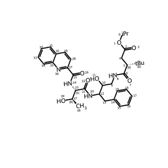 CC(C)OC(=O)C[C@@H](C(=O)NCC(O)C(Cc1ccccc1)NC(=O)[C@@H](NC(=O)c1ccc2ccccc2n1)[C@@H](C)O)C(C)(C)C